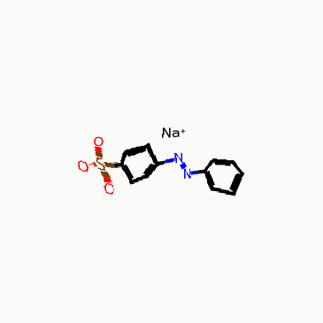 O=S(=O)([O-])c1ccc(N=Nc2ccccc2)cc1.[Na+]